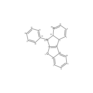 C1=CC2c3c(oc4ccccc34)N(c3ccccc3)C2N=C1